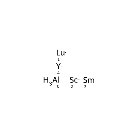 [AlH3].[Lu].[Sc].[Sm].[Y]